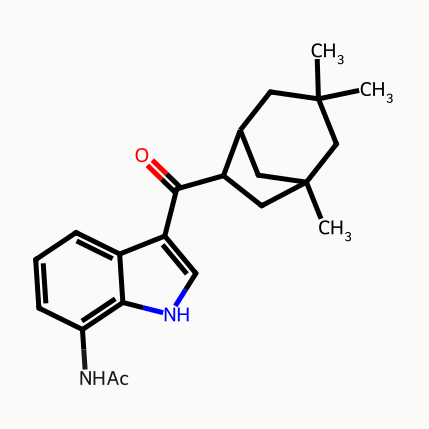 CC(=O)Nc1cccc2c(C(=O)C3CC4(C)CC3CC(C)(C)C4)c[nH]c12